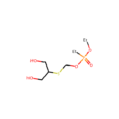 CCOP(=O)(CC)OCSC(CO)CO